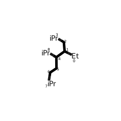 CCC(CC(C)C)[C](CCC(C)C)C(C)C